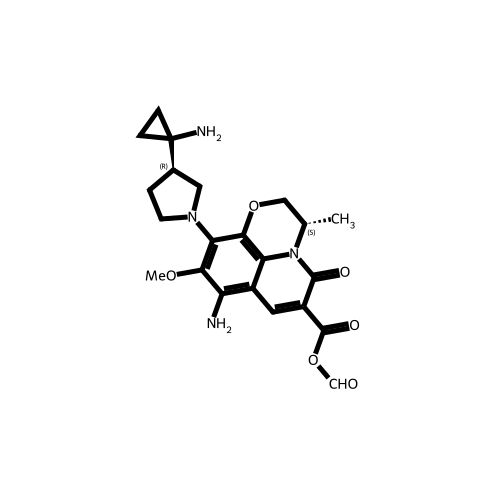 COc1c(N2CC[C@@H](C3(N)CC3)C2)c2c3c(cc(C(=O)OC=O)c(=O)n3[C@@H](C)CO2)c1N